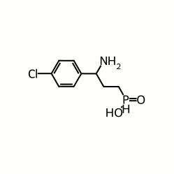 NC(CC[PH](=O)O)c1ccc(Cl)cc1